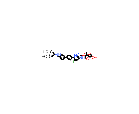 O=C(O)CC(CC(=O)O)NCc1ccc(-c2ccc(-c3nc4nc(O[C@@H]5COC6[C@H](O)CO[C@@H]65)[nH]c4cc3Cl)cc2)cc1